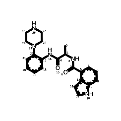 CC(NC(=O)c1cccc2[nH]ccc12)C(=O)Nc1ccccc1N1CCNCC1